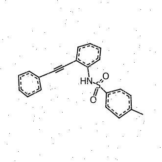 Cc1ccc(S(=O)(=O)Nc2ccccc2C#Cc2ccccc2)cc1